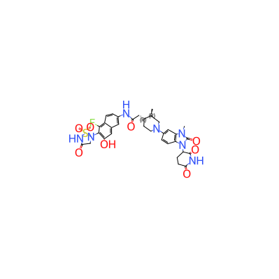 C[C@H]1CN(c2ccc3c(c2)n(C)c(=O)n3C2CCC(=O)NC2=O)CC[C@@H]1CC(=O)Nc1ccc2c(F)c(N3CC(=O)NS3(=O)=O)c(O)cc2c1